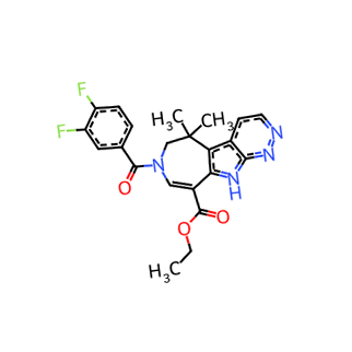 CCOC(=O)C1=CN(C(=O)c2ccc(F)c(F)c2)CC(C)(C)c2c1[nH]c1nnccc21